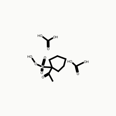 CC(=O)C1(S(=O)(=O)OO)CCCCC1.O=C(O)O.O=C(O)O